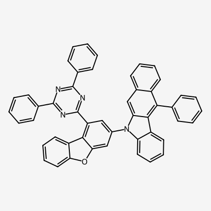 c1ccc(-c2nc(-c3ccccc3)nc(-c3cc(-n4c5ccccc5c5c(-c6ccccc6)c6ccccc6cc54)cc4oc5ccccc5c34)n2)cc1